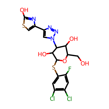 OCC1OC(Sc2cc(Cl)c(Cl)cc2F)C(O)C(n2cc(-c3csc(O)n3)nn2)C1O